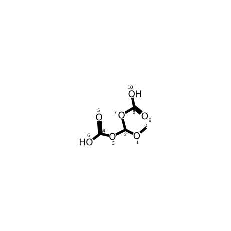 COC(OC(=O)O)OC(=O)O